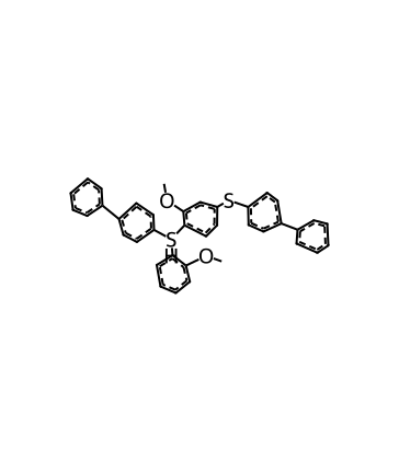 COc1ccccc1[SH](c1ccc(-c2ccccc2)cc1)c1ccc(Sc2ccc(-c3ccccc3)cc2)cc1OC